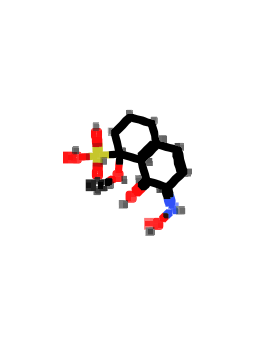 COC1(S(=O)(=O)O)CCCC2=C1C(=O)C(=NO)C=C2